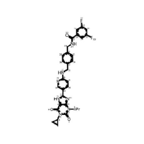 CCCn1c(=O)n(C2CC2)c(=O)c2[nH]c(-c3ccc(NCc4ccc(CNC(=O)c5cc(F)cc(F)c5)cc4)nc3)nc21